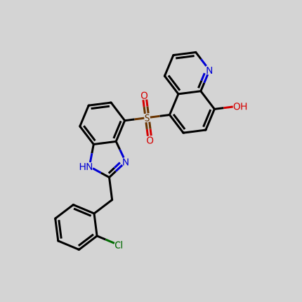 O=S(=O)(c1ccc(O)c2ncccc12)c1cccc2[nH]c(Cc3ccccc3Cl)nc12